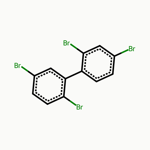 Brc1ccc(-c2cc(Br)ccc2Br)c(Br)c1